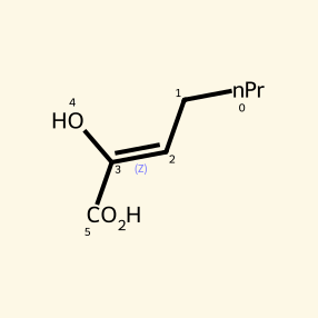 CCCC/C=C(\O)C(=O)O